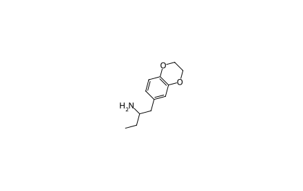 CCC(N)Cc1ccc2c(c1)OCCO2